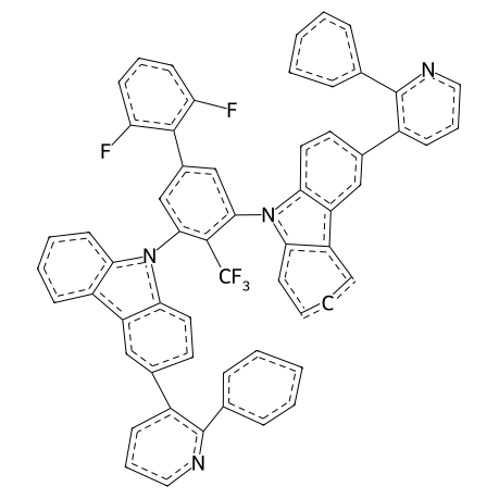 Fc1cccc(F)c1-c1cc(-n2c3ccccc3c3cc(-c4cccnc4-c4ccccc4)ccc32)c(C(F)(F)F)c(-n2c3ccccc3c3cc(-c4cccnc4-c4ccccc4)ccc32)c1